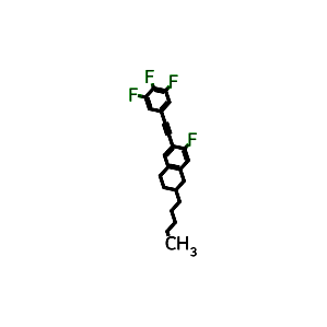 CCCCCC1CCc2cc(C#Cc3cc(F)c(F)c(F)c3)c(F)cc2C1